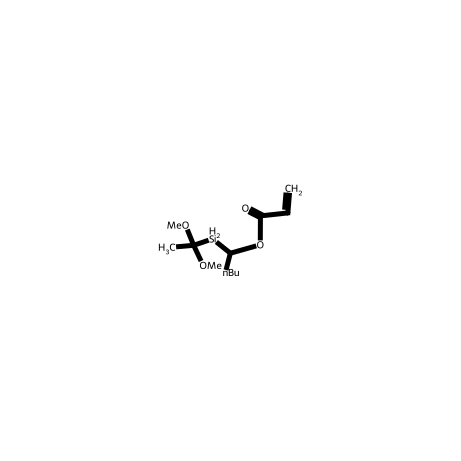 C=CC(=O)OC(CCCC)[SiH2]C(C)(OC)OC